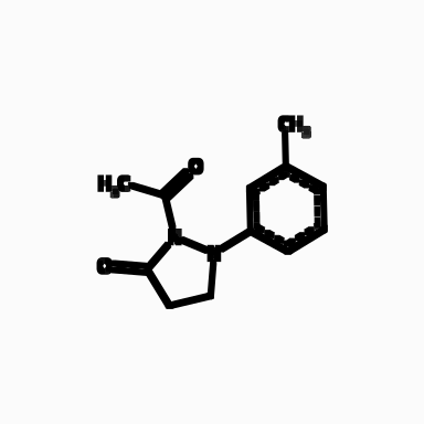 CC(=O)N1C(=O)CCN1c1cccc(C)c1